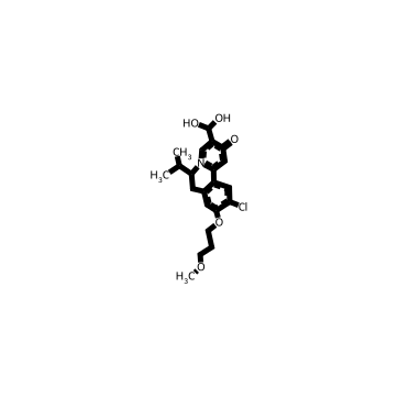 COCCCOc1cc2c(cc1Cl)-c1cc(=O)c(C(O)O)cn1C(C(C)C)C2